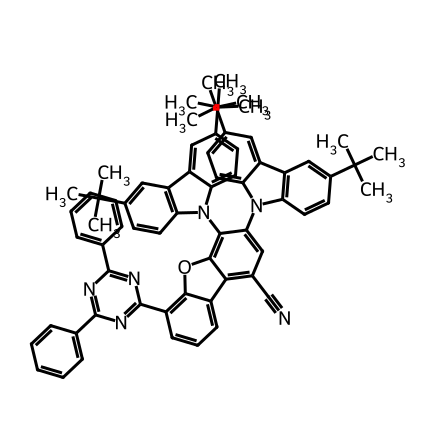 CC(C)(C)c1ccc2c(c1)c1cc(C(C)(C)C)ccc1n2-c1cc(C#N)c2c(oc3c(-c4nc(-c5ccccc5)nc(-c5ccccc5)n4)cccc32)c1-n1c2ccc(C(C)(C)C)cc2c2cc(C(C)(C)C)ccc21